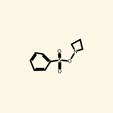 O=S(=O)(ON1CCC1)c1ccccc1